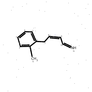 Cc1ccccc1C/C=C\C=N